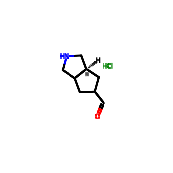 Cl.O=CC1CC2CNC[C@H]2C1